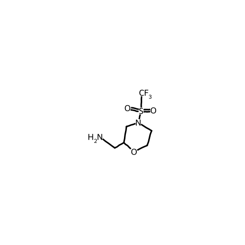 NCC1CN(S(=O)(=O)C(F)(F)F)CCO1